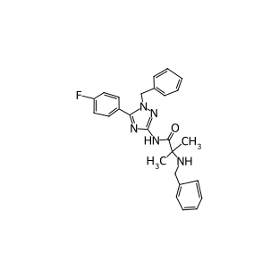 CC(C)(NCc1ccccc1)C(=O)Nc1nc(-c2ccc(F)cc2)n(Cc2ccccc2)n1